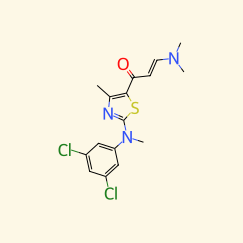 Cc1nc(N(C)c2cc(Cl)cc(Cl)c2)sc1C(=O)C=CN(C)C